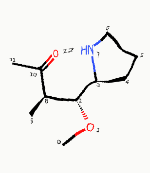 CO[C@@H]([C@@H]1CCCN1)[C@@H](C)C(C)=O